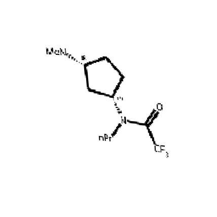 CCCN(C(=O)C(F)(F)F)[C@H]1CC[C@@H](NC)C1